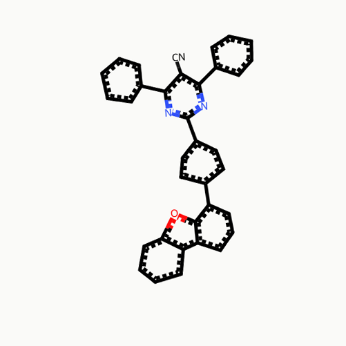 N#Cc1c(-c2ccccc2)nc(-c2ccc(-c3cccc4c3oc3ccccc34)cc2)nc1-c1ccccc1